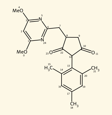 COc1cc(OC)nc(CC2CC(=O)C(c3c(C)cc(C)cc3C)C2=O)n1